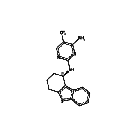 Nc1nc(N[C@@H]2CCCc3sc4ccccc4c32)ncc1C(F)(F)F